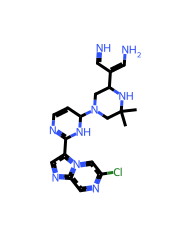 CC1(C)CN(C2C=CN=C(c3cnc4cnc(Cl)cn34)N2)CC(/C(C=N)=C/N)N1